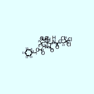 CC1(C)[C@H](C(=O)OCc2ccccc2)N2C(=O)C(NC(=O)OCC(Cl)(Cl)Cl)[C@H]2S1(=O)=O